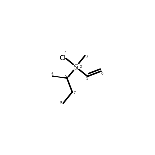 C=C[Si](C)(Cl)C(C)CC